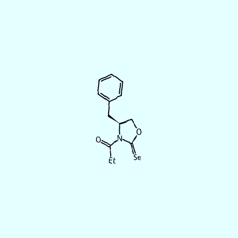 CCC(=O)N1C(=[Se])OC[C@@H]1Cc1ccccc1